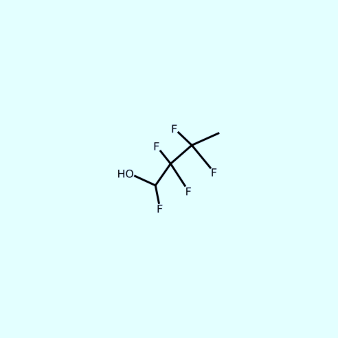 CC(F)(F)C(F)(F)C(O)F